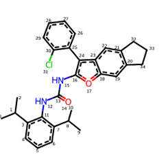 CC(C)c1cccc(C(C)C)c1NC(=O)Nc1oc2cc3c(cc2c1-c1ccccc1Cl)CCC3